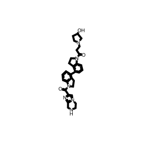 O=C(CCN1CCC(O)C1)N1CCc2c(-c3cccc4c3CCN4C(=O)c3cn4c(n3)CNCC4)cccc21